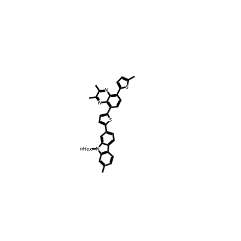 CCCCCCn1c2cc(C)ccc2c2ccc(-c3ccc(-c4ccc(-c5ccc(C)s5)c5nc(C)c(C)nc45)s3)cc21